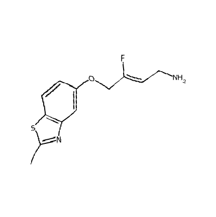 Cc1nc2cc(OCC(F)=CCN)ccc2s1